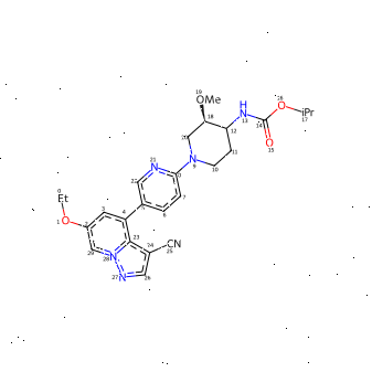 CCOc1cc(-c2ccc(N3CCC(NC(=O)OC(C)C)[C@H](OC)C3)nc2)c2c(C#N)cnn2c1